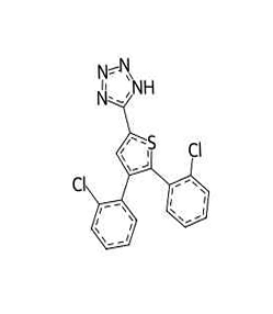 Clc1ccccc1-c1cc(-c2nnn[nH]2)sc1-c1ccccc1Cl